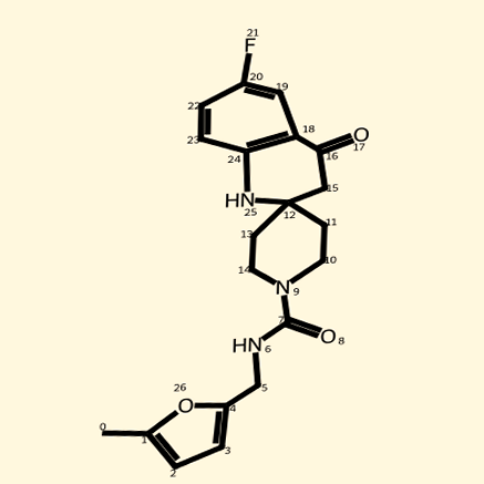 Cc1ccc(CNC(=O)N2CCC3(CC2)CC(=O)c2cc(F)ccc2N3)o1